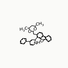 CC1CC(C)OC(Cc2ccc3c(oc4ccccc43)c2C2C=C(c3ccccc3)C=CN2)O1